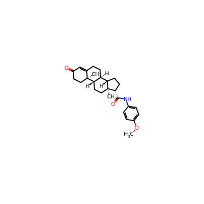 COc1ccc(NC(=O)[C@H]2CC[C@H]3[C@@H]4CCC5=CC(=O)CC[C@]5(C)[C@H]4CC[C@]23C)cc1